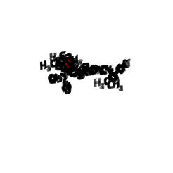 CC(=O)O[C@@H]1[C@H](C)O[C@@H](N(c2ccc(S(=O)(=O)NC(=O)c3ccc(N4CCN(CC5=C(c6ccc(Cl)cc6)CCC(C)(C)C5)CC4)cc3)cc2S(=O)(=O)C(F)(F)F)[C@H](CCN2CCOCC2)CSc2ccccc2)C[C@@H]1OC(C)=O